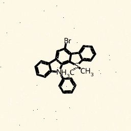 CS1(C)c2ccccc2-c2c(Br)cc3c4ccccc4n(-c4ccccc4)c3c21